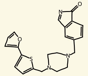 O=C1N=Cc2cc(CN3CCN(Cc4ccc(-c5ccco5)s4)CC3)ccc21